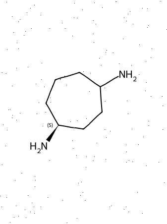 NC1CCC[C@H](N)CC1